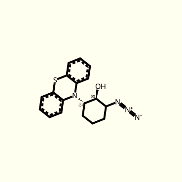 [N-]=[N+]=NC1CCC[C@H](N2c3ccccc3Sc3ccccc32)[C@H]1O